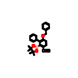 CC1(C)OB(c2c(C=O)ccc(OCc3ccccc3)c2-c2ccccc2)OC1(C)C